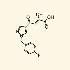 O=C(O)C(O)=CC(=O)c1cnn(Cc2ccc(F)cc2)c1